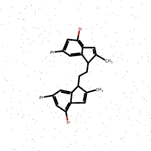 CC1=Cc2c(Br)cc(C(C)C)cc2C1CCC1C(C)=Cc2c(Br)cc(C(C)C)cc21